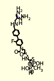 CC(OC(=S)NC[C@H]1CN(c2ccc(-c3ccc(CNC/C(=C/N)NN)cc3)c(F)c2)C(=O)O1)(PO)[PH](=O)O